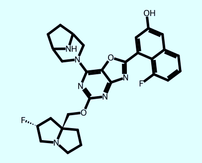 Oc1cc(-c2nc3nc(OC[C@@]45CCCN4C[C@H](F)C5)nc(N4CC5CCC(C4)N5)c3o2)c2c(F)cccc2c1